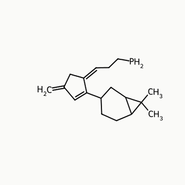 C=C1C=C(C2CCC3C(C2)C3(C)C)/C(=C\CCP)C1